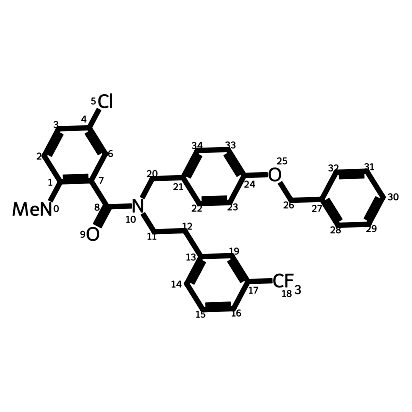 CNc1ccc(Cl)cc1C(=O)N(CCc1cccc(C(F)(F)F)c1)Cc1ccc(OCc2ccccc2)cc1